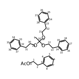 CC(=O)OCCc1ccccc1.CC(OCCc1ccccc1)(OCCc1ccccc1)OCCc1ccccc1